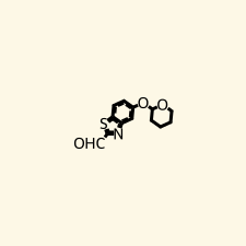 O=Cc1nc2cc(OC3CCCCO3)ccc2s1